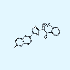 Cc1ccc2cc(-c3csc(NC(=O)c4ccccc4C(=O)O)n3)ccc2c1